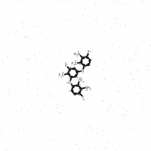 Nc1c(F)ccc(Oc2cc(F)c(C(F)(F)F)c(Oc3ccc(F)c(N)c3C(F)(F)F)c2)c1C(F)(F)F